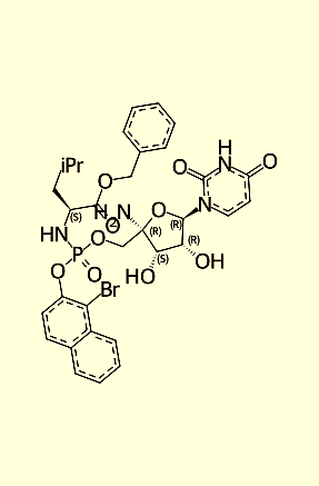 CC(C)C[C@H](NP(=O)(OC[C@@]1(N)O[C@@H](n2ccc(=O)[nH]c2=O)[C@H](O)[C@@H]1O)Oc1ccc2ccccc2c1Br)C(=O)OCc1ccccc1